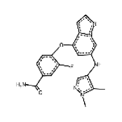 Cc1c(Nc2cc(Oc3ccc(C(N)=O)cc3F)c3ccnn3c2)cnn1C